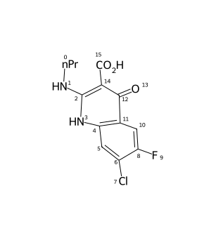 CCCNc1[nH]c2cc(Cl)c(F)cc2c(=O)c1C(=O)O